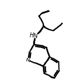 CCC(CC)Nc1[c]nc2ccccc2c1